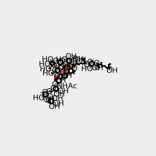 C=CC(C)(O)CC/C=C(\C)C(=O)O[C@H]1[C@H](O)[C@@H](O)[C@H](O[C@](C)(C=C)CC/C=C(\CO)C(=O)O[C@H]2C[C@]3(C(=O)O[C@@H]4O[C@H](CO)[C@@H](O)[C@H](O)[C@H]4O[C@@H]4O[C@@H](C)[C@H](O[C@@H]5O[C@@H](CO)[C@H](O)[C@H]5O)[C@@H](O[C@@H]5O[C@H](CO)[C@@H](O)[C@H](O)[C@H]5O)[C@H]4O)[C@H](O)C[C@]4(C)C(=CC[C@@H]5[C@@]6(C)CC[C@H](O[C@@H]7O[C@H](CO[C@@H]8O[C@H](C)[C@H](O)[C@H](O)[C@H]8O[C@@H]8OC[C@@H](O)[C@H](O)[C@H]8O)[C@@H](O)[C@H](O)[C@H]7NC(C)=O)C(C)(C)[C@@H]6CC[C@]54C)[C@@H]3CC2(C)C)O[C@@H]1C